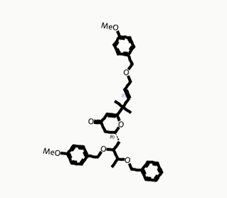 COc1ccc(COC/C=C/C(C)(C)C2=CC(=O)C[C@@H](CC(OCc3ccc(OC)cc3)C(C)OCc3ccccc3)O2)cc1